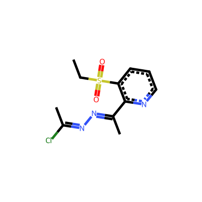 CCS(=O)(=O)c1cccnc1/C(C)=N/N=C(\C)Cl